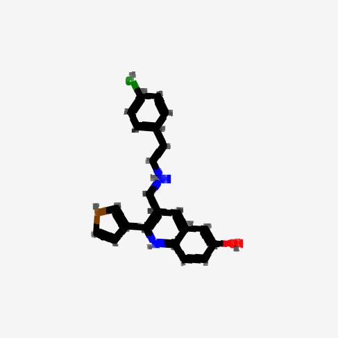 Oc1ccc2nc(-c3ccsc3)c(CNCCc3ccc(Cl)cc3)cc2c1